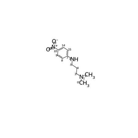 CN(C)CCCNc1ccc([N+](=O)[O-])cc1